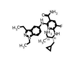 CCc1nn(CC)c2ccc(Nc3nc(N[C@H](CC4CC4)[C@H](C)N)c(F)cc3C(N)=O)cc12